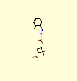 CC(=O)[C@H]1C[C@@H](CC(=O)ON=Cc2ccccc2Cl)C1(C)C